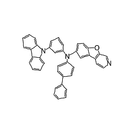 c1ccc(-c2ccc(N(c3cccc(-n4c5ccccc5c5ccccc54)c3)c3ccc4oc5cnccc5c4c3)cc2)cc1